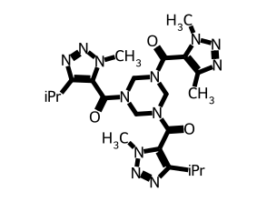 Cc1nnn(C)c1C(=O)N1CN(C(=O)c2c(C(C)C)nnn2C)CN(C(=O)c2c(C(C)C)nnn2C)C1